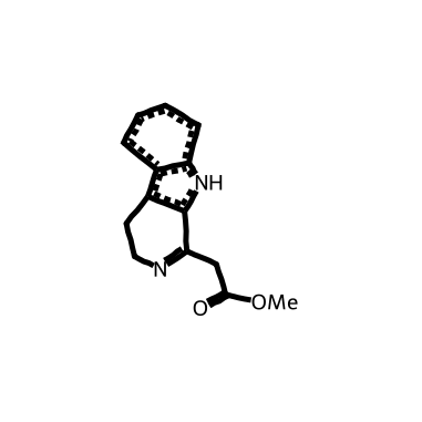 COC(=O)CC1=NCCc2c1[nH]c1ccccc21